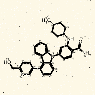 C[C@H]1CC[C@H](Nc2cc(-n3c4ccccc4c4c(-c5ccc(CO)nc5)cccc43)ccc2C(N)=O)CC1